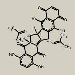 CC(C)=C[C@H]1[C@H]2C(=O)c3c(O)ccc(O)c3C(=O)C2=C2[C@@H](C=C(C)C)c3c(O)c4c(c(O)c3[C@H]21)C(=O)C=CC4=O